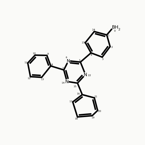 Bc1ccc(-c2nc(-c3ccccc3)nc(-c3ccccc3)n2)cc1